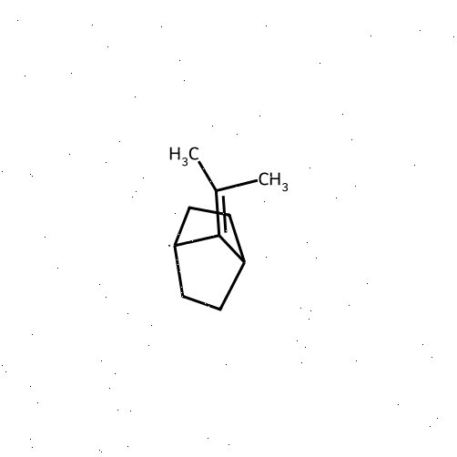 CC(C)=C1[C]2CCC1CC2